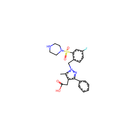 Cc1c(CC(=O)O)c(-c2ccccc2)nn1Cc1ccc(F)cc1S(=O)(=O)N1CCNCC1